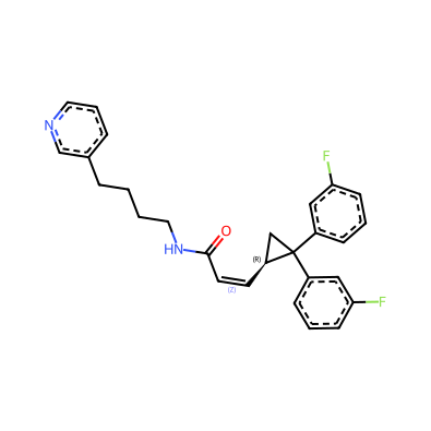 O=C(/C=C\[C@H]1CC1(c1cccc(F)c1)c1cccc(F)c1)NCCCCc1cccnc1